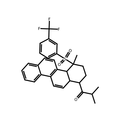 CC(C)C(=O)C1CCC(C)(S(=O)(=O)c2cccc(C(F)(F)F)c2)C2c3ccc4ccccc4c3C=CC12